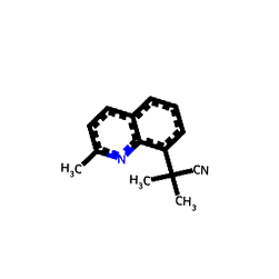 Cc1ccc2cccc(C(C)(C)C#N)c2n1